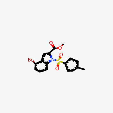 COC(=O)c1cc2c(Br)cccc2n1S(=O)(=O)c1ccc(C)cc1